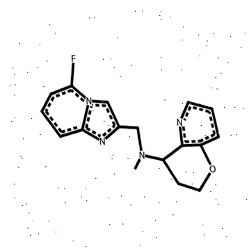 CN(Cc1cn2c(F)cccc2n1)C1CCOc2cccnc21